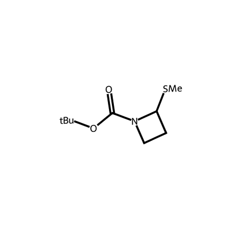 CSC1CCN1C(=O)OC(C)(C)C